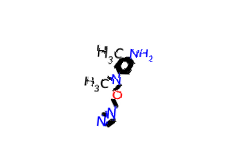 CCN(CCOCCn1ccnc1)c1ccc(N)c(C)c1